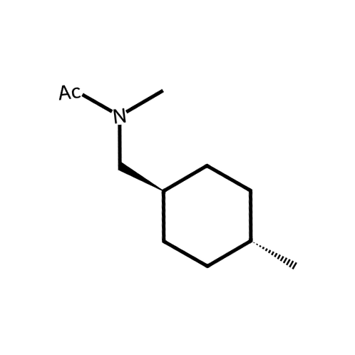 CC(=O)N(C)C[C@H]1CC[C@H](C)CC1